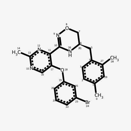 Cc1ccc(C[C@@H]2CON=C(c3nc(C)ncc3Oc3cccc(Br)c3)N2)c(C)c1